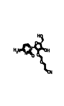 N#CCCOCOC1C(O)[C@@H](CO)O[C@H]1n1ccc(N)nc1=O